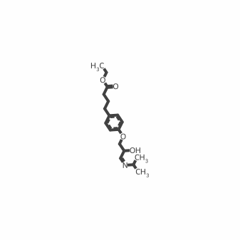 CCOC(=O)CCCc1ccc(OCC(O)/C=N\C(C)C)cc1